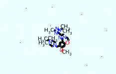 COc1cc2c(cc1CN1CCN(C(C)(C)C)CC1)-c1nc(-c3nc(C)nn3C(C)C)cn1CCO2